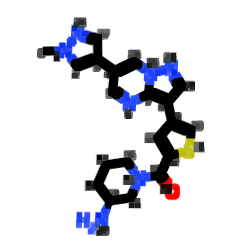 Cn1cc(-c2cnc3c(-c4csc(C(=O)N5CCC[C@H](N)C5)c4)cnn3c2)cn1